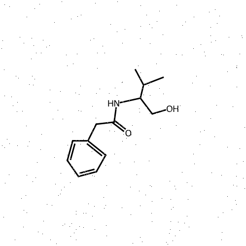 CC(C)C(CO)NC(=O)Cc1ccccc1